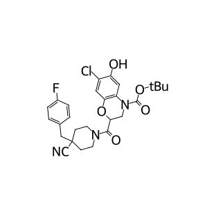 CC(C)(C)OC(=O)N1CC(C(=O)N2CCC(C#N)(Cc3ccc(F)cc3)CC2)Oc2cc(Cl)c(O)cc21